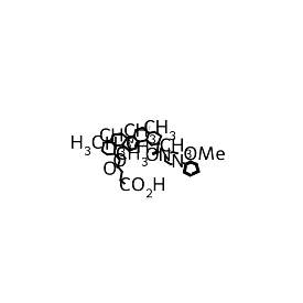 COc1ccccc1N1CCN(C(=O)C2(C)CC[C@]3(C)CC[C@]4(C)C(=CCC5[C@@]6(C)C(OC(=O)CCC(=O)O)CCC(C)(C)C6CC[C@]54C)[C@@H]3C2)CC1